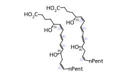 CCCCC/C=C\C[C@@H](O)/C=C/C=C/C=C\[C@@H](O)CCCC(=O)O.CCCCC/C=C\C[C@@H](O)/C=C/C=C/C=C\[C@@H](O)CCCC(=O)O